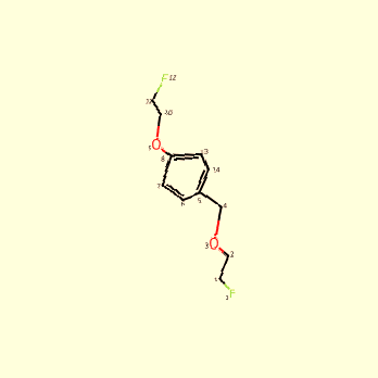 FCCOCc1ccc(OCCF)cc1